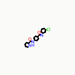 O=C(Nc1ccc(-c2nc3cc(Cl)ccc3o2)cc1)c1ccccn1